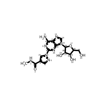 CNC(=O)c1cnn(-c2nc(N)c3ncn(C4OC(CO)[C@@H](O)[C@H]4O)c3n2)c1